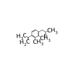 C=C(C)c1ccc(CC(C)F)c(C)c1C